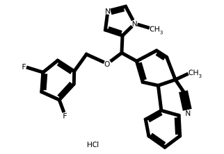 Cl.Cn1cncc1C(OCc1cc(F)cc(F)c1)C1=CC(c2ccccc2)C(C)(C#N)C=C1